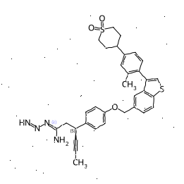 CC#C[C@@H](C/C(N)=N/N=N)c1ccc(OCc2ccc3scc(-c4ccc(C5CCS(=O)(=O)CC5)cc4C)c3c2)cc1